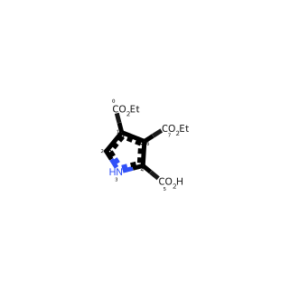 CCOC(=O)c1c[nH]c(C(=O)O)c1C(=O)OCC